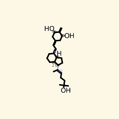 C=C1[C@H](O)CC(=C/C=C2\CCC[C@]3(C)[C@@H](/C(C)=C/CCC(C)(C)O)CC[C@@H]23)C[C@H]1O